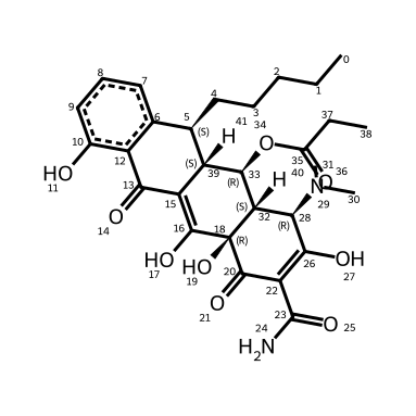 CCCCC[C@@H]1c2cccc(O)c2C(=O)C2=C(O)[C@@]3(O)C(=O)C(C(N)=O)=C(O)[C@H](N(C)C)[C@H]3[C@H](OC(=O)CC)[C@H]21